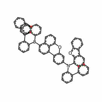 c1ccc(-c2ccccc2B(c2ccc3c4c(cccc24)Oc2cc(N(c4ccccc4-c4ccccc4)c4cccc5c4oc4ccccc45)ccc2-3)c2cccc3c2oc2ccccc23)cc1